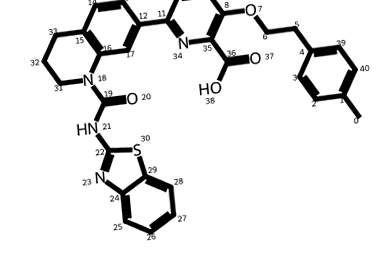 Cc1ccc(CCOc2ccc(-c3ccc4c(c3)N(C(=O)Nc3nc5ccccc5s3)CCC4)nc2C(=O)O)cc1